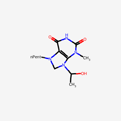 CCCCCN1CN(C(C)O)c2c1c(=O)[nH]c(=O)n2C